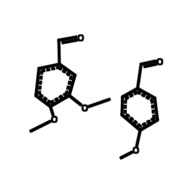 COc1ccc(C=O)cc1.COc1ccc(C=O)cc1OC